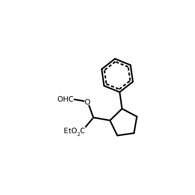 CCOC(=O)C(OC=O)C1CCCC1c1ccccc1